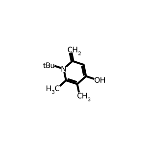 C=C1C=C(O)C(C)=C(C)N1C(C)(C)C